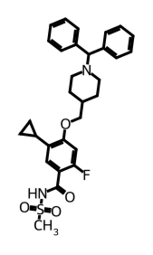 CS(=O)(=O)NC(=O)c1cc(C2CC2)c(OCC2CCN(C(c3ccccc3)c3ccccc3)CC2)cc1F